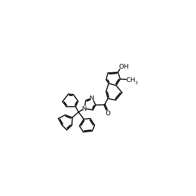 Cc1c(O)ccc2cc(C(=O)c3cn(C(c4ccccc4)(c4ccccc4)c4ccccc4)cn3)ccc12